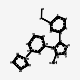 CCc1cccc(-c2nnc(S)n2-c2cccc(-n3cccc3)c2)c1